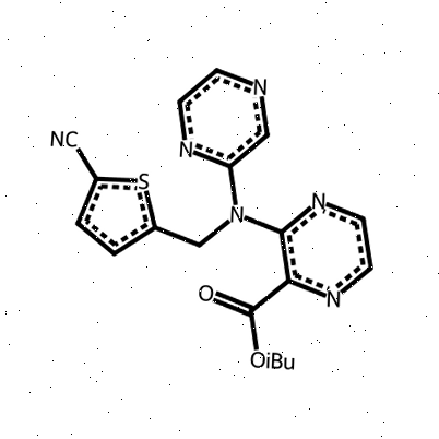 CC(C)COC(=O)c1nccnc1N(Cc1ccc(C#N)s1)c1cnccn1